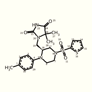 Cc1ccc(N2CCN(S(=O)(=O)c3cccs3)C[C@@H]2CN2C(=O)NC(=O)C2(C)C)cc1